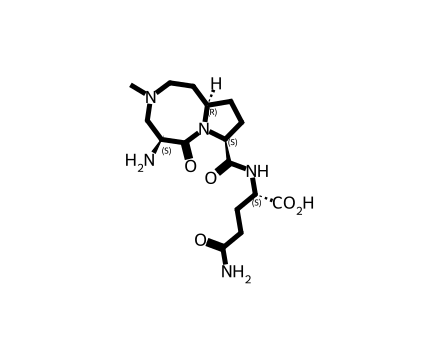 CN1CC[C@H]2CC[C@@H](C(=O)N[C@@H](CCC(N)=O)C(=O)O)N2C(=O)[C@@H](N)C1